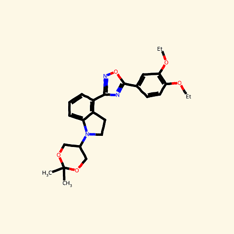 CCOc1ccc(-c2nc(-c3cccc4c3CCN4C3COC(C)(C)OC3)no2)cc1OCC